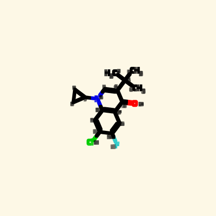 CC(C)(C)c1cn(C2CC2)c2cc(Cl)c(F)cc2c1=O